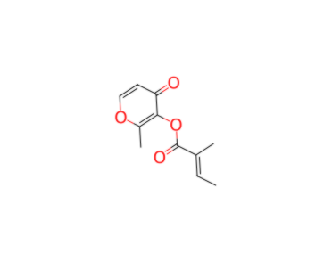 C/C=C(\C)C(=O)Oc1c(C)occc1=O